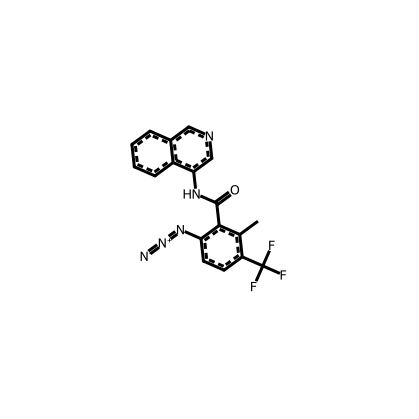 Cc1c(C(F)(F)F)ccc(N=[N+]=[N-])c1C(=O)Nc1cncc2ccccc12